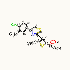 COC(=O)c1cc(-c2nc(-c3ccc(Cl)c([N+](=O)[O-])c3)cs2)c(SC)s1